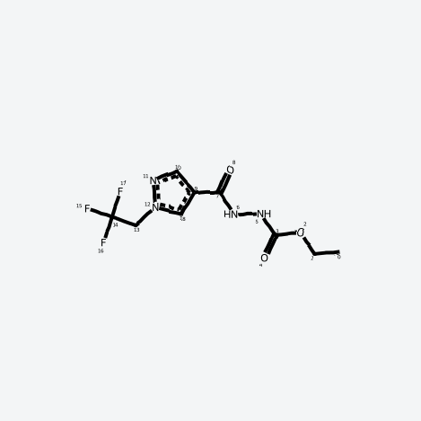 CCOC(=O)NNC(=O)c1cnn(CC(F)(F)F)c1